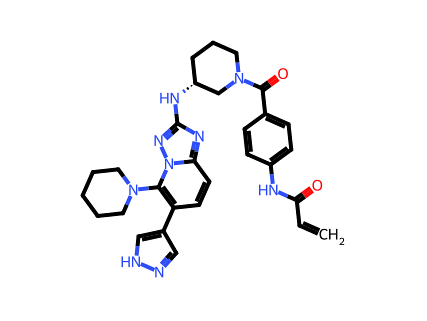 C=CC(=O)Nc1ccc(C(=O)N2CCC[C@@H](Nc3nc4ccc(-c5cn[nH]c5)c(N5CCCCC5)n4n3)C2)cc1